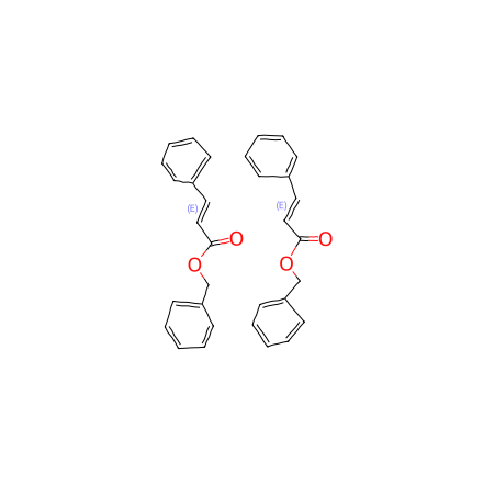 O=C(/C=C/c1ccccc1)OCc1ccccc1.O=C(/C=C/c1ccccc1)OCc1ccccc1